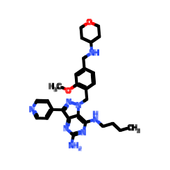 CCCCNc1nc(N)nc2c(-c3ccncc3)nn(Cc3ccc(CNC4CCOCC4)cc3OC)c12